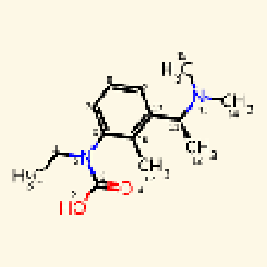 CCN(C(=O)O)c1cccc([C@H](C)N(C)C)c1C